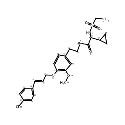 CCS(=O)(=O)N[C@H](C(=O)NCCc1ccc(OCC=Cc2ccc(Cl)cc2)c(OC)c1)C1CC1